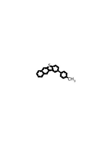 Cc1ccc(-c2ccc3sc4cc5ccccc5cc4c3c2)cc1